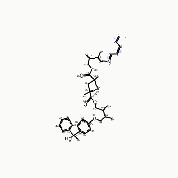 C\C=C/C=C\C=N\CC(C)C(C)COC(=O)C(C)(Br)CC(C)(C)C(=O)OCC(C)C(C)COc1ccc(C(C)(O)c2ccccc2)cc1